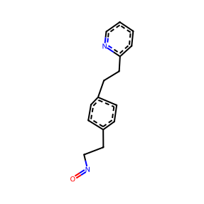 O=NCCc1ccc(CCc2ccccn2)cc1